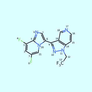 Fc1cc(F)c2ncc(-c3nn(CC(F)(F)F)c4ccncc34)n2c1